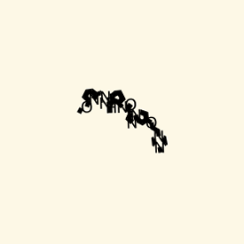 CCOc1cccc(Cn2nc(C)c3c(NC(=O)c4cnc5cc(OCCN6CCN(C)CC6)ccn45)cccc32)n1